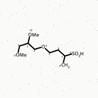 COCC(COCCC(C)S(=O)(=O)O)OC